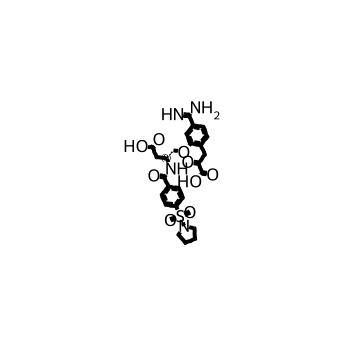 N=C(N)c1ccc(CC(=O)C(=O)O)c(OC[C@@H](CC(=O)O)NC(=O)c2ccc(S(=O)(=O)N3CCCC3)cc2)c1